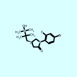 CC(C)(C[C@@H]1CC(=O)N(c2ccc(Br)cc2F)C1)[Si](C)(C)O